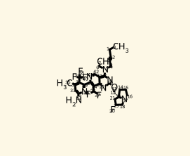 CCC#CCN(CC)c1nc(OC[C@]23CCCN2C[C@@H](F)C3)nc2c(C(F)F)c(-c3nc(N)cc(C)c3C(F)(F)F)ncc12